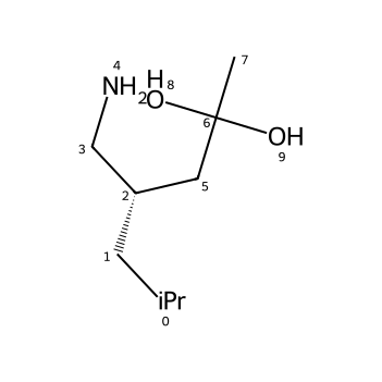 CC(C)C[C@H](CN)CC(C)(O)O